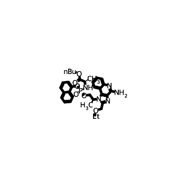 CCCCOC(=O)[C@H](C)N[P@](=O)(OC[C@H](C)n1c(COCC)nc2c(N)nc3ccccc3c21)Oc1cccc2ccccc12